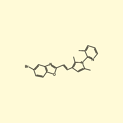 Cc1cccnc1-n1c(C)cc(/C=C/c2nc3cc(Br)ccc3o2)c1C